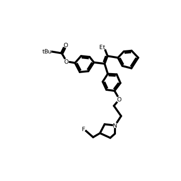 CCC(=C(c1ccc(OCCN2CCC(CF)C2)cc1)c1ccc(OC(=O)C(C)(C)C)cc1)c1ccccc1